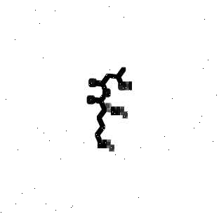 CC(O)CC(=O)OC(=O)[C@H](N)CCCN